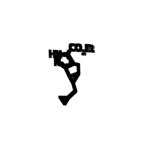 CCOC(=O)c1[nH]nc2c1CC1C(CC3CC3)C21